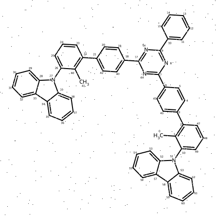 Cc1c(-c2ccc(-c3nc(-c4ccccc4)nc(-c4ccc(-c5cccc(-n6c7ccccc7c7ccccc76)c5C)cc4)n3)cc2)cccc1-n1c2ccccc2c2ccccc21